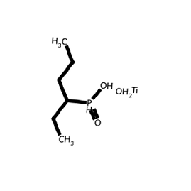 CCCC(CC)[PH](=O)O.O.[Ti]